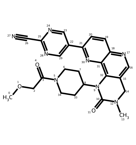 COCC(=O)N1CCC(N2C(=O)N(C)Cc3cnc4ccc(-c5cnc(C#N)nc5)nc4c32)CC1